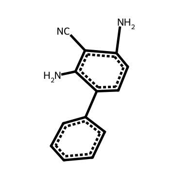 N#Cc1c(N)ccc(-c2ccccc2)c1N